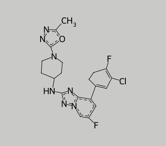 Cc1nnc(N2CCC(Nc3nc4c(C5=CC(Cl)=C(F)CC5)cc(F)cn4n3)CC2)o1